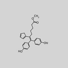 COC(=O)CCCCC(C1=CC=CC1)=C(c1ccc(O)cc1)c1ccc(O)cc1